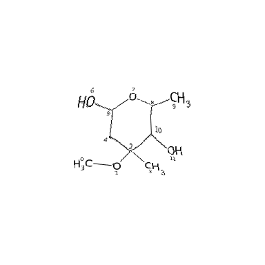 COC1(C)CC(O)OC(C)C1O